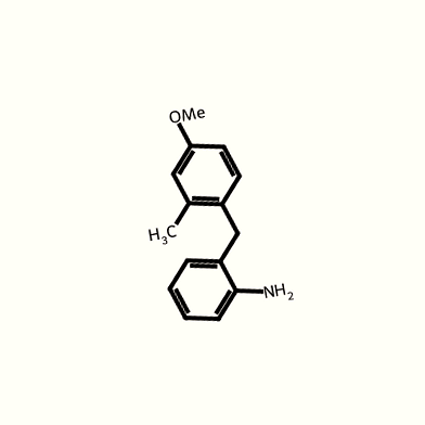 COc1ccc(Cc2ccccc2N)c(C)c1